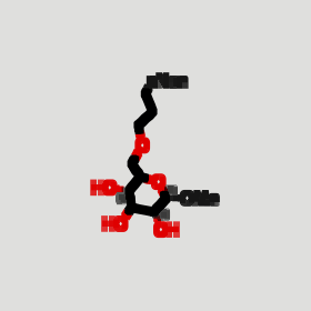 CCCCCCCCCCCCOCC1O[C@H](OC)[C@H](O)C(O)[C@@H]1O